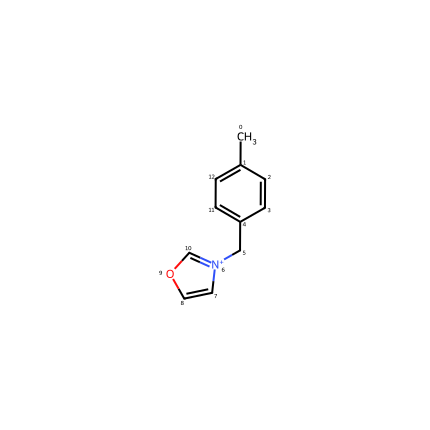 Cc1ccc(C[n+]2ccoc2)cc1